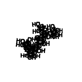 CC1OC(CO)[C@@H](O)[C@H](O[C@H]2OC(CO[C@@H]3OC(CO)[C@@H](O)[C@H](O)C3O)[C@@H](O)[C@H](O[C@@H]3OC(CO)[C@@H](O)[C@H](O[C@H]4OC(CO[C@@H]5OC(CO)[C@@H](O)[C@H](O)C5O)[C@@H](O)[C@H](O[C@@H]5OC(CO)[C@@H](O)[C@H](O)C5O)C4O)C3O)C2O)C1O